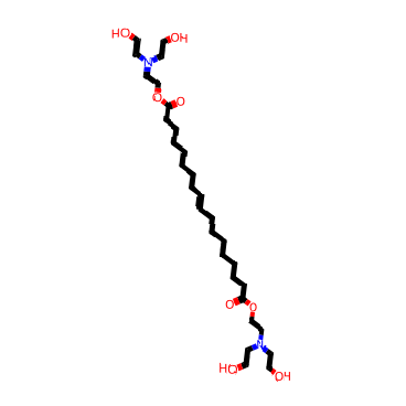 O=C(CCCCCCC/C=C/CCCCCCCC(=O)OCCN(CCO)CCO)OCCN(CCO)CCO